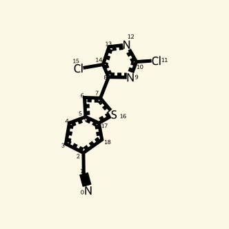 N#Cc1ccc2cc(-c3nc(Cl)ncc3Cl)sc2c1